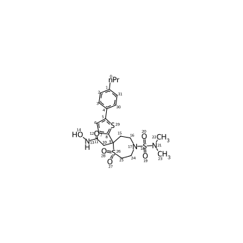 CCCc1ccc(-c2ccc(C3(CC(=O)NO)CCN(S(=O)(=O)N(C)C)CCS3(=O)=O)s2)cc1